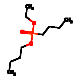 CCCCOP(=O)(CCCC)OCC